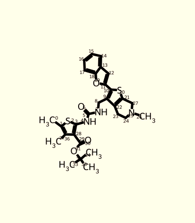 Cc1sc(NC(=O)NCc2c(-c3cc4ccccc4o3)sc3c2CCN(C)C3)c(C(=O)OC(C)(C)C)c1C